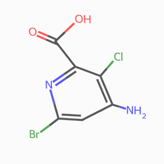 Nc1cc(Br)nc(C(=O)O)c1Cl